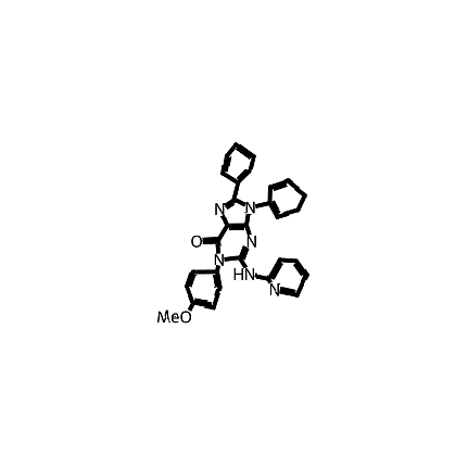 COc1ccc(-n2c(Nc3ccccn3)nc3c(nc(-c4ccccc4)n3C3=CCCC=C3)c2=O)cc1